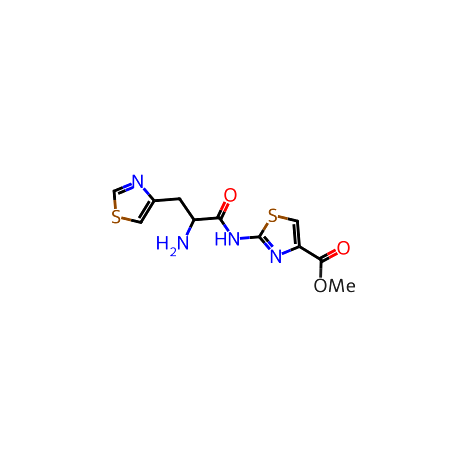 COC(=O)c1csc(NC(=O)C(N)Cc2cscn2)n1